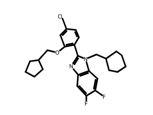 Fc1cc2nc(-c3ccc(Cl)cc3OCC3CCCC3)n(CC3CCCCC3)c2cc1F